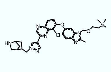 Cc1nc2ccc(Oc3ccc4ncc(-c5cnn(CC6CC7CC6CN7)c5)nc4c3Cl)cc2n1COCC[Si](C)(C)C